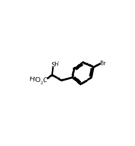 O=C(O)C(S)Cc1ccc(Br)cc1